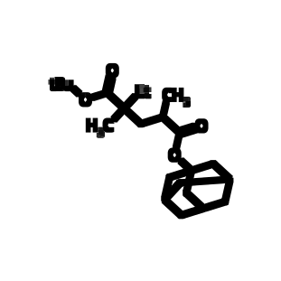 CCC(C)(CC(C)C(=O)OC12CC3CC(CC(C3)C1)C2)C(=O)OC(C)(C)C